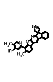 Cc1cnc(-c2c(C)ccc3c2oc2nc4c(cc23)-c2ccccc2C4(CC(C)(C)C)CC(C)(C)C)cc1C(C)C